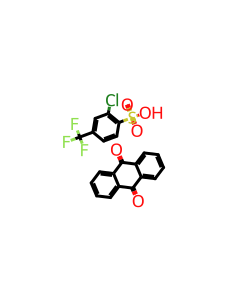 O=C1c2ccccc2C(=O)c2ccccc21.O=S(=O)(O)c1ccc(C(F)(F)F)cc1Cl